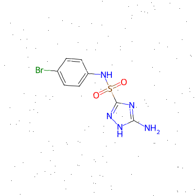 Nc1nc(S(=O)(=O)Nc2ccc(Br)cc2)n[nH]1